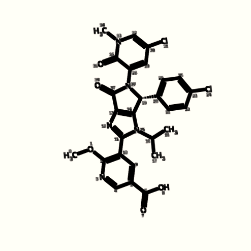 COc1ncc(C(=O)O)cc1-c1nc2c(n1C(C)C)[C@@H](c1ccc(Cl)cc1)N(c1cc(Cl)cn(C)c1=O)C2=O